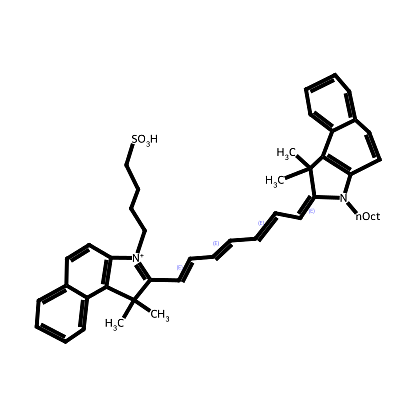 CCCCCCCCN1/C(=C/C=C/C=C/C=C/C2=[N+](CCCCS(=O)(=O)O)c3ccc4ccccc4c3C2(C)C)C(C)(C)c2c1ccc1ccccc21